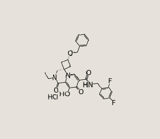 CCN1C[C@]2(C[C@@H](OCc3ccccc3)C2)n2cc(C(=O)NCc3ccc(F)cc3F)c(=O)c(O)c2C1=O.Cl